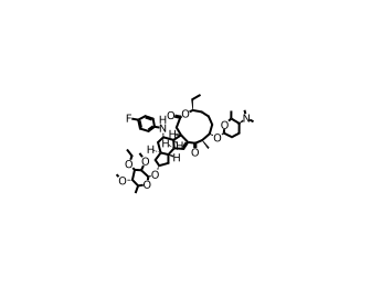 CCOC1C(OC)[C@H](O[C@@H]2C[C@H]3C[C@H](Nc4ccc(F)cc4)[C@@H]4[C@@H](C=C5C(=O)[C@H](C)[C@@H](O[C@H]6CC[C@H](N(C)C)C(C)O6)CCC[C@H](CC)OC(=O)C[C@H]54)[C@@H]3C2)OC(C)[C@@H]1OC